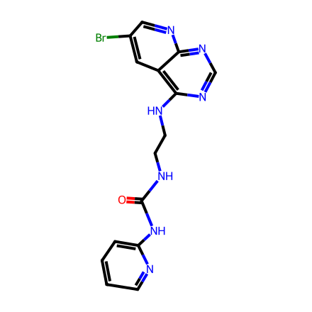 O=C(NCCNc1ncnc2ncc(Br)cc12)Nc1ccccn1